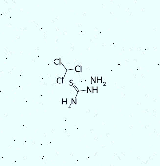 ClC(Cl)Cl.NNC(N)=S